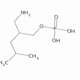 CC(C)CC(CN)COP(=O)(O)O